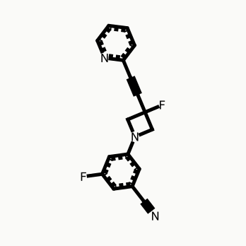 N#Cc1cc(F)cc(N2CC(F)(C#Cc3ccccn3)C2)c1